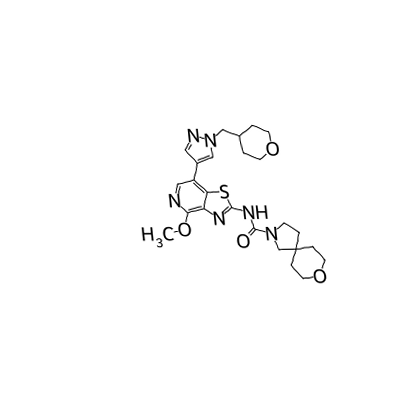 COc1ncc(-c2cnn(CC3CCOCC3)c2)c2sc(NC(=O)N3CCC4(CCOCC4)C3)nc12